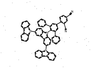 N#Cc1ccc(-c2cc(-c3ccccc3)c(-n3c4ccc(-n5c6ccccc6c6ccccc65)cc4c4cc(-n5c6ccccc6c6ccccc65)ccc43)c(-c3ccccc3)c2)c(C#N)c1